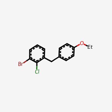 CCOc1ccc(Cc2cccc(Br)c2Cl)cc1